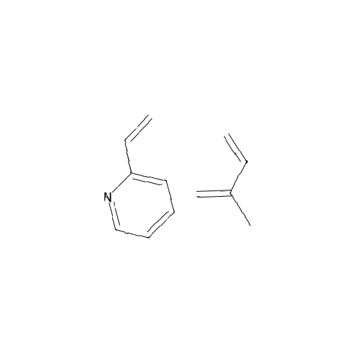 C=CC(=C)C.C=Cc1ccccn1